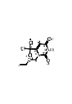 CCOCn1c(C(Cl)(Cl)Cl)cc(=O)[nH]c1=O